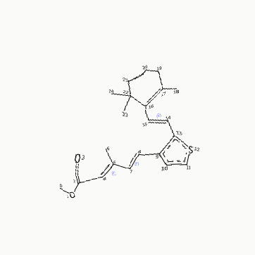 COC(=O)/C=C(C)/C=C/c1ccsc1/C=C/C1=C(C)CCCC1(C)C